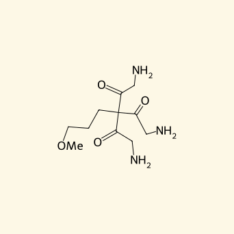 COCCCC(C(=O)CN)(C(=O)CN)C(=O)CN